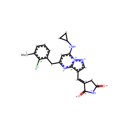 COc1cccc(Cc2cc(NC3CC3)n3ncc(/C=C4\CC(=O)NC4=O)c3n2)c1Cl